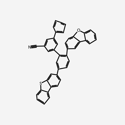 N#Cc1cc(-c2ccccc2)cc(-c2cc(-c3ccc4c(c3)sc3ccccc34)ccc2-c2ccc3oc4ccccc4c3c2)c1